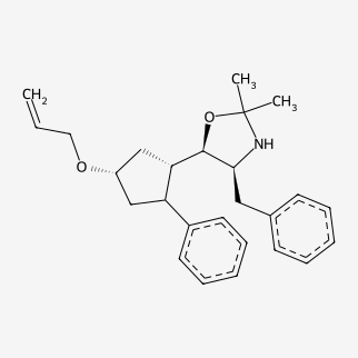 C=CCO[C@H]1CC(c2ccccc2)[C@@H]([C@H]2OC(C)(C)N[C@H]2Cc2ccccc2)C1